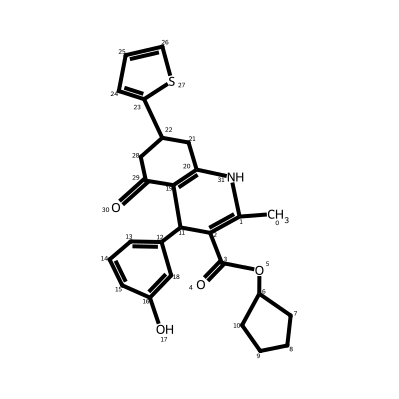 CC1=C(C(=O)OC2CCCC2)C(c2cccc(O)c2)C2=C(CC(c3cccs3)CC2=O)N1